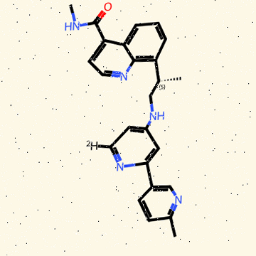 [2H]c1cc(NC[C@@H](C)c2cccc3c(C(=O)NC)ccnc23)cc(-c2ccc(C)nc2)n1